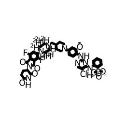 [2H]C1([2H])N(CC2CCN(c3ccc(Nc4ncc(Cl)c(Nc5ccccc5P(=O)(OC)OC)n4)c(OC)c3)CC2)C([2H])([2H])C([2H])([2H])N(c2cc(F)c3c(c2F)C(=O)N(C2CCC(=O)NC2=O)C3=O)C1([2H])[2H]